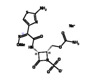 CO/N=C(\C(=O)N[C@H]1C(=O)N(S(=O)(=O)[O-])[C@H]1COC(N)=O)c1csc(N)n1.[Na+]